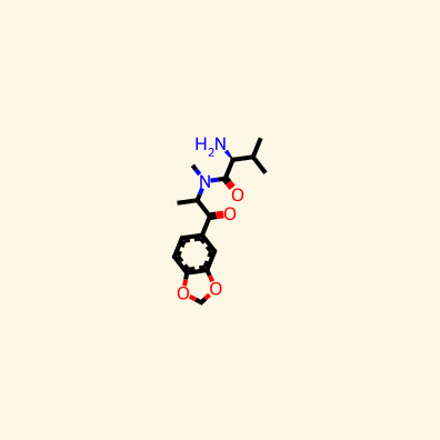 CC(C)[C@H](N)C(=O)N(C)C(C)C(=O)c1ccc2c(c1)OCO2